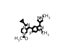 CC(=O)N1CCn2c(C3CC3)nc(-c3cc4c(-c5cnn(C)c5)nn(C)c4cc3F)c2C1